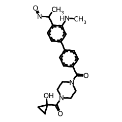 CNc1cc(-c2ccc(C(=O)N3CCN(C(=O)C4(O)CC4)CC3)cc2)ccc1C(C)N=O